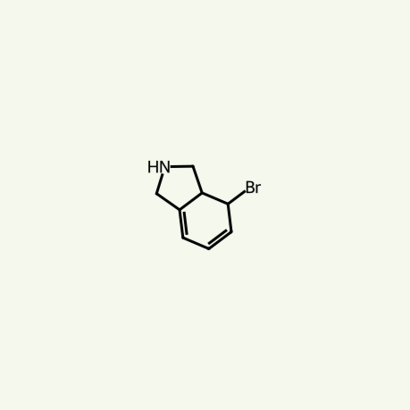 BrC1C=CC=C2CNCC21